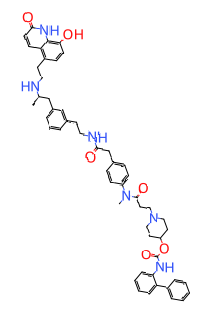 C[C@H](Cc1cccc(CCNC(=O)Cc2ccc(N(C)C(=O)CCN3CCC(OC(=O)Nc4ccccc4-c4ccccc4)CC3)cc2)c1)NCCc1ccc(O)c2[nH]c(=O)ccc12